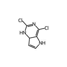 ClC1=NC(Cl)=C2NC=CC2N1